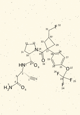 C#C[C@H](CC(N)=O)NC(=O)[C@@H]1CCCN1C(=O)C1(c2ccc(OC(F)(F)F)cc2)CC(CF)C1